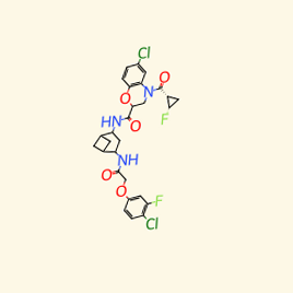 O=C(COc1ccc(Cl)c(F)c1)NC1CC(NC(=O)C2CN(C(=O)[C@@H]3C[C@@H]3F)c3cc(Cl)ccc3O2)C2CC1C2